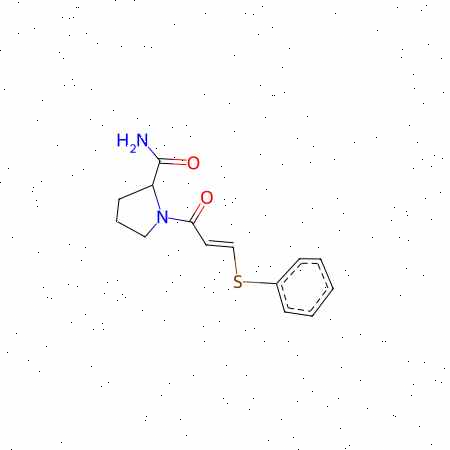 NC(=O)C1CCCN1C(=O)/C=C/Sc1ccccc1